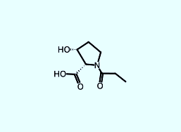 CCC(=O)N1CC[C@@H](O)[C@H]1C(=O)O